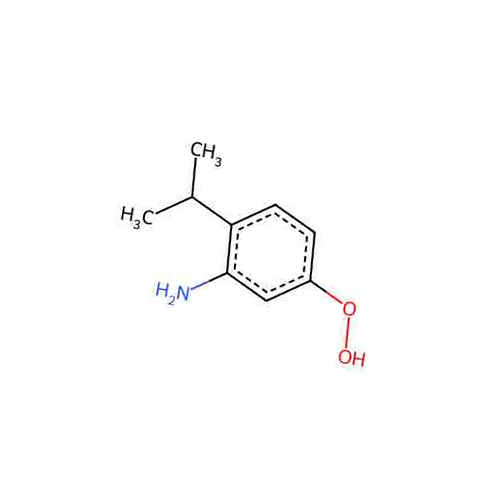 CC(C)c1ccc(OO)cc1N